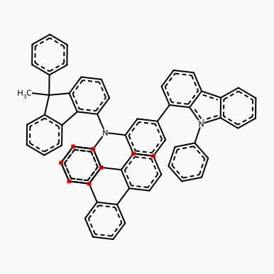 CC1(c2ccccc2)c2ccccc2-c2c(N(c3cccc(-c4cccc5c6ccccc6n(-c6ccccc6)c45)c3)c3ccccc3-c3ccccc3-c3ccccc3-c3ccccc3)cccc21